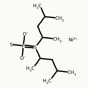 CC(C)CC(C)S(C(C)CC(C)C)=P([O-])([O-])[S-].[Ni+3]